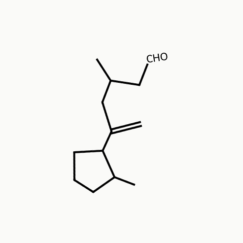 C=C(CC(C)CC=O)C1CCCC1C